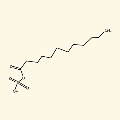 CCCCCCCCCCCC(=O)OS(=O)(=O)O